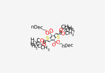 CCCCCCCCCCCCOC(=O)c1c2cc(B3OC(C)(C)C(C)(C)O3)sc2c(C(=O)OCCCCCCCCCCCC)c2cc(B3OC(C)(C)C(C)(C)O3)sc12